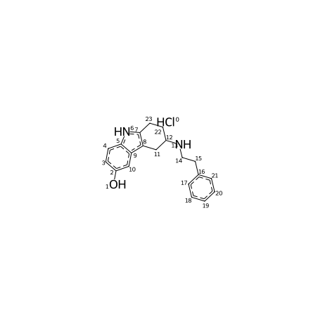 Cl.Oc1ccc2[nH]c3c(c2c1)CC(NCCc1ccccc1)CC3